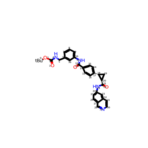 CC(C)(C)OC(=O)NCc1cccc(NC(=O)c2ccc([C@@H]3C[C@H]3C(=O)Nc3ccc4cnccc4c3)cc2)c1